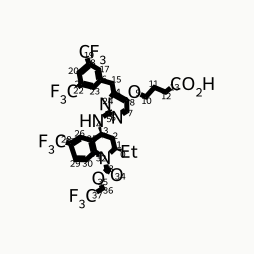 CC[C@@H]1C[C@H](Nc2ncc(OCCCC(=O)O)c(Cc3cc(C(F)(F)F)cc(C(F)(F)F)c3)n2)c2cc(C(F)(F)F)ccc2N1C(=O)OCC(F)(F)F